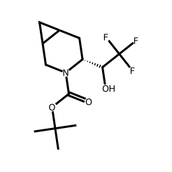 CC(C)(C)OC(=O)N1CC2CC2C[C@@H]1C(O)C(F)(F)F